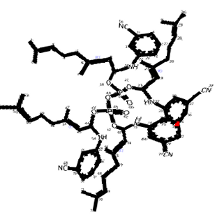 CC(C)=CCC/C(C)=C/C(Nc1cccc(C#N)c1)OP(=O)(OC(/C=C(\C)CCC=C(C)C)Nc1cccc(C#N)c1)OP(=O)(OC(/C=C(\C)CCC=C(C)C)Nc1cccc(C#N)c1)OC(/C=C(\C)CCC=C(C)C)Nc1cccc(C#N)c1